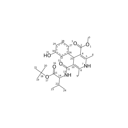 COC(=O)C1=C(C)NC(C)=C(C(=O)NC(C(=O)OC(C)(C)C)C(C)C)C1c1cccc(O)c1